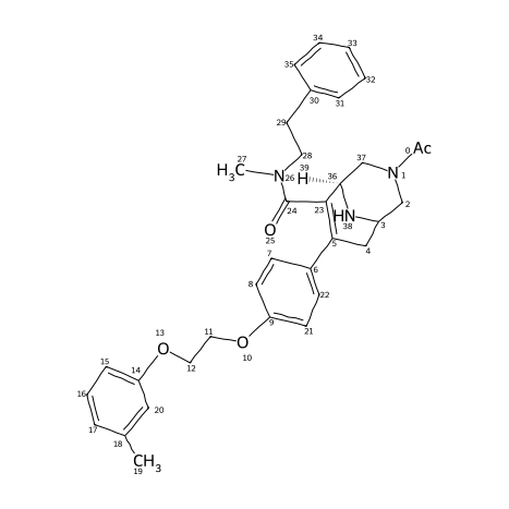 CC(=O)N1CC2CC(c3ccc(OCCOc4cccc(C)c4)cc3)=C(C(=O)N(C)CCc3ccccc3)[C@@H](C1)N2